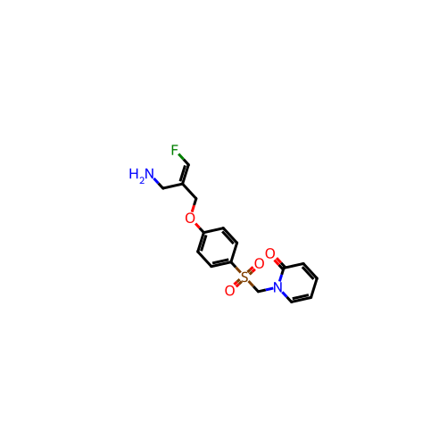 NC/C(=C\F)COc1ccc(S(=O)(=O)Cn2ccccc2=O)cc1